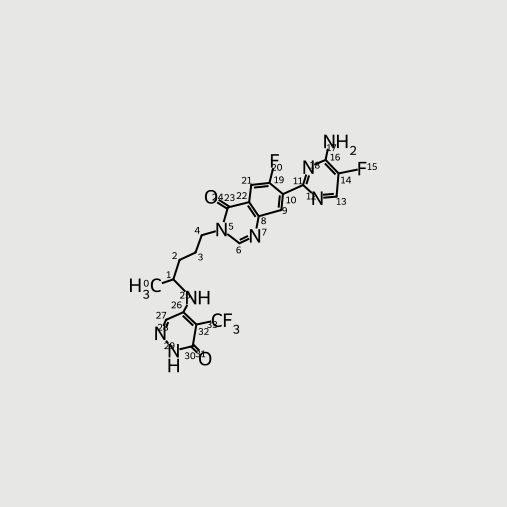 CC(CCCn1cnc2cc(-c3ncc(F)c(N)n3)c(F)cc2c1=O)Nc1cn[nH]c(=O)c1C(F)(F)F